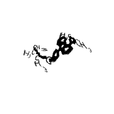 Cc1cc(C)cc(-c2cccc3c2-c2ccccc2C3c2ccc(OCCC(C)CCCC(C)C)cc2)c1